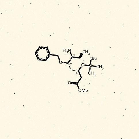 C=C[C@H](N)[C@H](C[C@@H](CC(=O)OC)O[Si](C)(C)C(C)(C)C)OCc1ccccc1